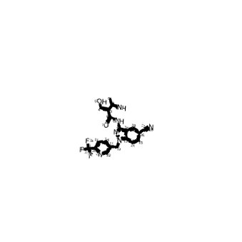 CC(=N)/C(=C\O)C(=O)Nc1nn(Cc2ccc(C(F)(F)F)nc2)c2ccc(C#N)cc12